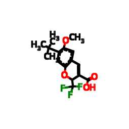 COc1cc2c(cc1C(C)(C)C)OC(C(F)(F)F)C(C(=O)O)=C2